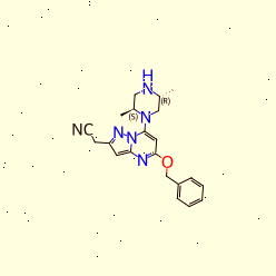 C[C@@H]1CN(c2cc(OCc3ccccc3)nc3cc(CC#N)nn23)[C@@H](C)CN1